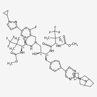 COC(=O)NC(C(=O)N[C@@H](Cc1ccc(-c2cnc(N3CC4CCC(C3)N4C3COC3)nc2)cc1)[C@@H](O)CN(Cc1c(F)cc(-c2ccn(C3CC3)n2)cc1F)NC(=O)[C@@H](NC(=O)OC)C(C)(C)C(F)(F)F)C(C)(C)C(F)(F)F